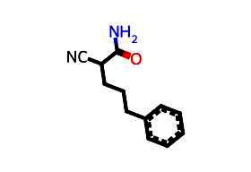 N#CC(CCCc1ccccc1)C(N)=O